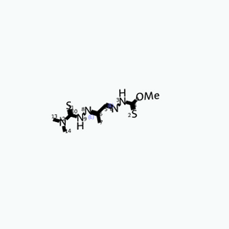 COC(=S)N/N=C/C(C)=N/NC(=S)N(C)C